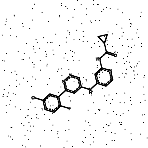 O=C(Nc1cc(Nc2cnnc(-c3cc(Cl)ccc3F)c2)ccn1)C1CC1